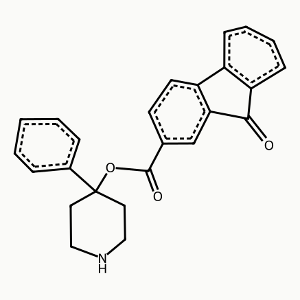 O=C(OC1(c2ccccc2)CCNCC1)c1ccc2c(c1)C(=O)c1ccccc1-2